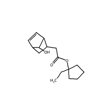 CCC1(OC(=O)CC2CC3C=CC2C3O)CCCC1